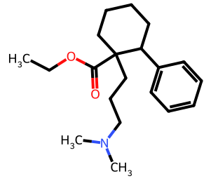 CCOC(=O)C1(CCCN(C)C)CCCCC1c1ccccc1